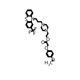 COc1ccc(OCC(=O)OCCN2CCN(CCCN3c4ccccc4Sc4ccc(C(F)(F)F)cc43)CC2)cc1